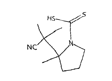 CC(C)(C#N)C1(C)CCCN1C(=S)S